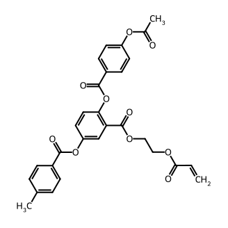 C=CC(=O)OCCOC(=O)c1cc(OC(=O)c2ccc(C)cc2)ccc1OC(=O)c1ccc(OC(C)=O)cc1